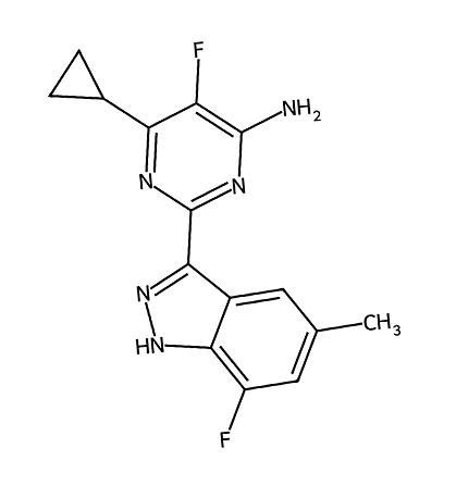 Cc1cc(F)c2[nH]nc(-c3nc(N)c(F)c(C4CC4)n3)c2c1